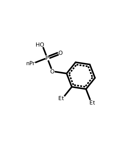 CCCP(=O)(O)Oc1cccc(CC)c1CC